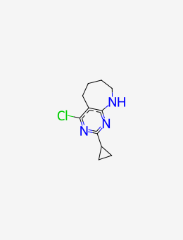 Clc1nc(C2CC2)nc2c1CCCCN2